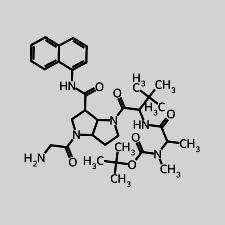 CC(C(=O)NC(C(=O)N1CCC2C1C(C(=O)Nc1cccc3ccccc13)CN2C(=O)CN)C(C)(C)C)N(C)C(=O)OC(C)(C)C